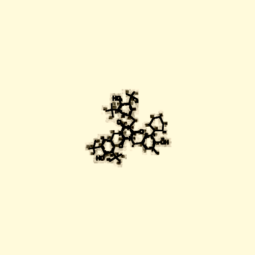 Cc1cc(Cn2c(=O)n(Cc3cc(C(C)(C)C)c(O)c(C(C)(C)C)c3)c(=O)n(Cc3cc(C(C)(C)C)c(O)c(C(C)(C)C)c3)c2=O)cc(C2CCCCC2)c1O